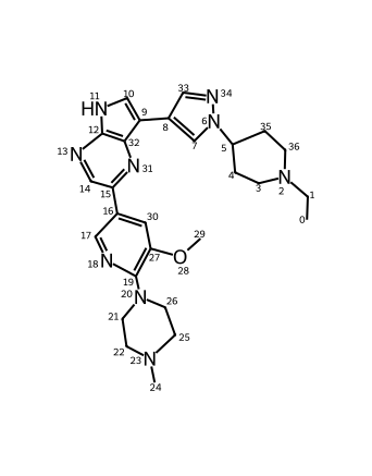 CCN1CCC(n2cc(-c3c[nH]c4ncc(-c5cnc(N6CCN(C)CC6)c(OC)c5)nc34)cn2)CC1